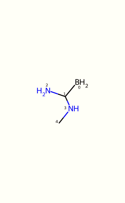 BC(N)NC